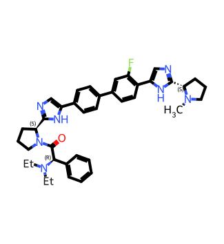 CCN(CC)[C@@H](C(=O)N1CCC[C@H]1c1ncc(-c2ccc(-c3ccc(-c4cnc([C@@H]5CCCN5C)[nH]4)c(F)c3)cc2)[nH]1)c1ccccc1